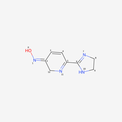 ON=C1C=CC(C2=NCCN2)=NC1